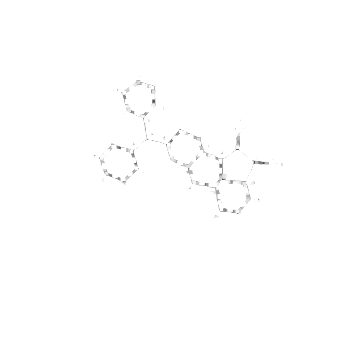 O=C1C(=O)c2c3ccc(C(c4ccccc4)c4ccccc4)cc3cc3cccc1c23